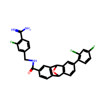 N=C(N)c1ccc(CNC(=O)c2ccc3c(c2)C2OC3c3ccc(-c4ccc(F)cc4F)cc32)cc1F